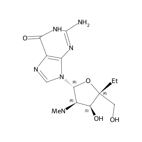 CC[C@]1(CO)O[C@@H](n2cnc3c(=O)[nH]c(N)nc32)[C@H](NC)[C@@H]1O